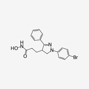 O=C(CCC1CN(c2ccc(Br)cc2)N=C1c1ccccc1)NO